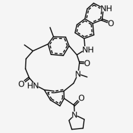 Cc1cc2ccc1C(C)CCC(=O)Nc1ccc(C(=O)N3CCCC3)c(c1)CN(C)C(=O)C2Nc1ccc2cc[nH]c(=O)c2c1